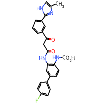 Cc1c[nH]c(-c2cccc(C(=O)CC(=O)Nc3cc(-c4ccc(F)cc4)ccc3NC(=O)O)c2)n1